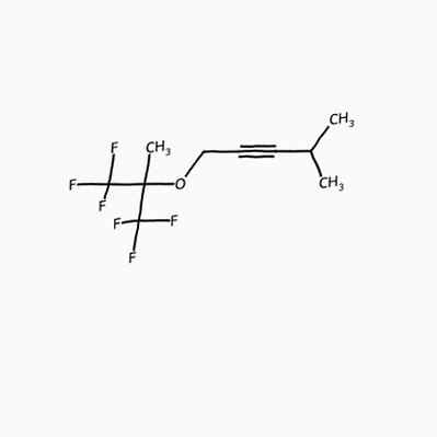 CC(C)C#CCOC(C)(C(F)(F)F)C(F)(F)F